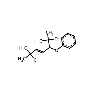 CC(C)(C)C=CC(Oc1ccccc1)C(C)(C)C